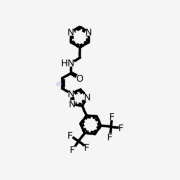 O=C(/C=C\n1cnc(-c2cc(C(F)(F)F)cc(C(F)(F)F)c2)n1)NCc1cncnc1